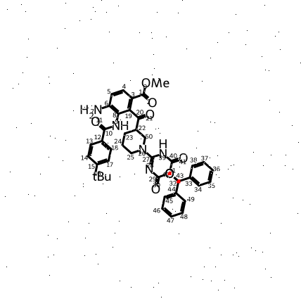 COC(=O)c1ccc(N)c(NC(=O)c2ccc(C(C)(C)C)cc2)c1C(=O)C1CCCN(C(=NC(=O)OCc2ccccc2)NC(=O)OCc2ccccc2)C1